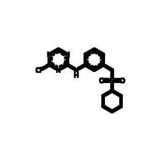 O=S(=O)(Cc1cccc(Nc2ncnc(Cl)n2)c1)C1CCCCC1